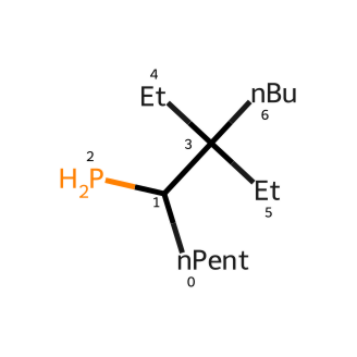 CCCCCC(P)C(CC)(CC)CCCC